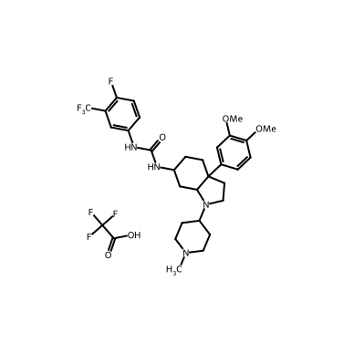 COc1ccc(C23CCC(NC(=O)Nc4ccc(F)c(C(F)(F)F)c4)CC2N(C2CCN(C)CC2)CC3)cc1OC.O=C(O)C(F)(F)F